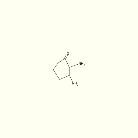 NC1CCCC(=O)C1N